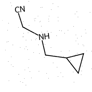 N#CCNCC1CC1